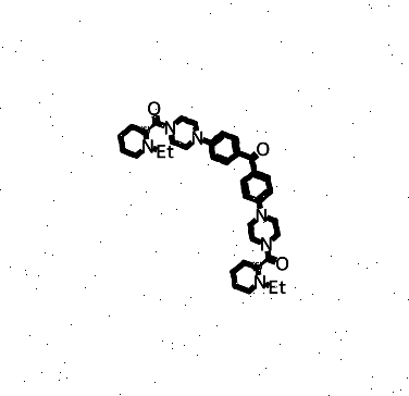 CCN1CCCC[C@H]1C(=O)N1CCN(c2ccc(C(=O)c3ccc(N4CCN(C(=O)[C@@H]5CCCCN5CC)CC4)cc3)cc2)CC1